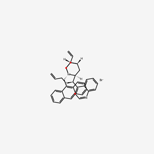 C=CCO[C@H](c1ccnc2ccccc12)[C@@H]1C[C@@H]2CC[N@@+]1(Cc1c3ccccc3cc3ccccc13)C[C@@H]2C=C.[Br-]